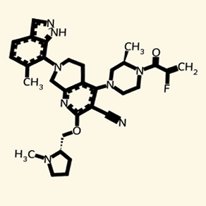 C=C(F)C(=O)N1CCN(c2c(C#N)c(OC[C@@H]3CCCN3C)nc3c2CCN(c2c(C)ccc4cn[nH]c24)C3)C[C@H]1C